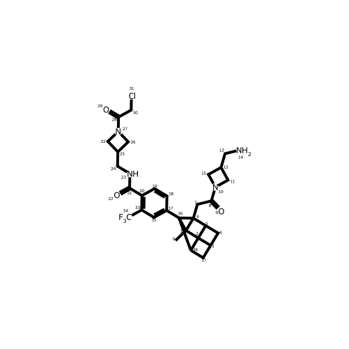 CC12C34C5CC3C1(CC(=O)N1CC(CN)C1)C2(c1ccc(C(=O)NCC2CN(C(=O)CCl)C2)c(C(F)(F)F)c1)C4C5